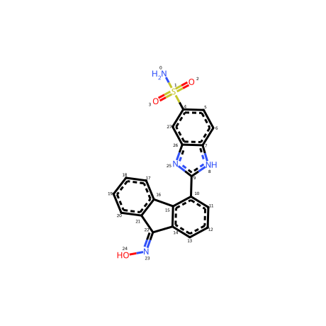 NS(=O)(=O)c1ccc2[nH]c(-c3cccc4c3-c3ccccc3C4=NO)nc2c1